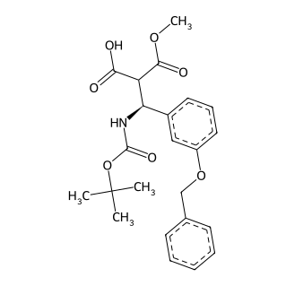 COC(=O)C(C(=O)O)[C@H](NC(=O)OC(C)(C)C)c1cccc(OCc2ccccc2)c1